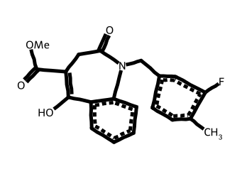 COC(=O)C1=C(O)c2ccccc2N(Cc2ccc(C)c(F)c2)C(=O)C1